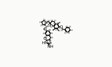 Cc1c(C)c2c(c(C)c1OCc1ccccc1)CC[C@@](C)(CN1CCC[C@H]1COc1ccc(CC3SC(=N)NC3=O)cc1)O2